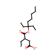 CCCCCC(CC)(CC)OC(=O)C(CC)CC(=O)O